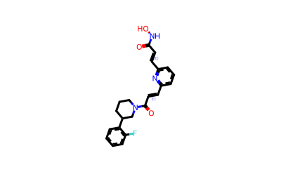 O=C(/C=C/c1cccc(/C=C/C(=O)N2CCCC(c3ccccc3F)C2)n1)NO